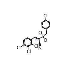 N#C/C(=C\c1ccc(Cl)c(Cl)c1Cl)S(=O)(=O)Cc1ccc(Cl)cc1